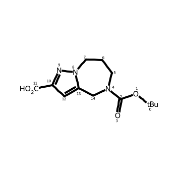 CC(C)(C)OC(=O)N1CCCn2nc(C(=O)O)cc2C1